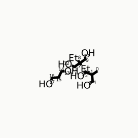 CC(CO)CO.CCC(CC)(CO)CO.OCCCO